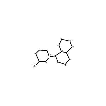 FC(F)(F)C1CCCN(C2CCCC3CNCCC32)C1